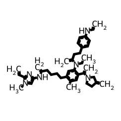 C=CNc1ccc(CCC(=C)N(CC)c2cc(CCCCC(=C)Nc3cn(C)c(C=C)n3)c(C)cc2C(=C)N2CCC(=C)C2)cc1